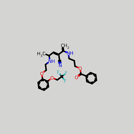 C=C(NCCCOC(=O)c1ccccc1)C(C#N)=CC(C)NCCOc1ccccc1OCC(F)(F)F